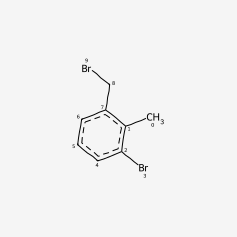 Cc1c(Br)cccc1CBr